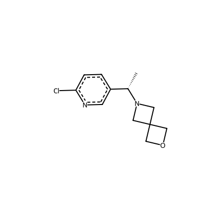 C[C@@H](c1ccc(Cl)nc1)N1CC2(COC2)C1